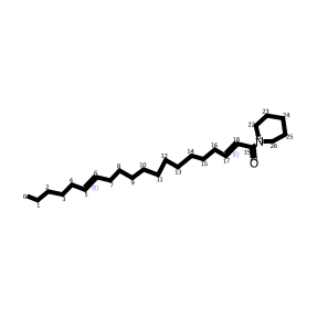 CCCCC/C=C/CCCCCCCCCC/C=C/C(=O)N1CCCCC1